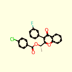 C[C@H](OC(=O)c1ccc(Cl)cc1)c1oc2ccccc2c(=O)c1-c1cccc(F)c1